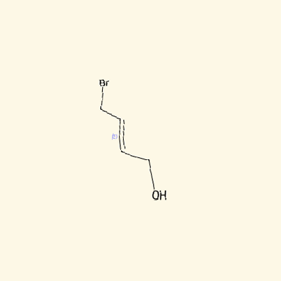 OC/C=C/CBr